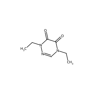 CCn1[c]nn(CC)c(=O)c1=O